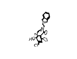 O=c1c2c(Cl)cc(Cl)c(O)c2ncn1CCN1Cc2ccccc2C1